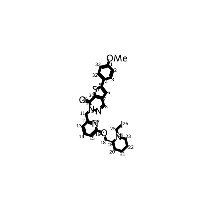 COc1ccc(-c2cc3cnn(Cc4cccc(OC[C@@H]5CCCCN5CI)n4)c(=O)c3s2)cc1